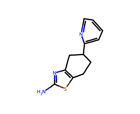 Nc1nc2c(s1)CCC(c1ccccn1)C2